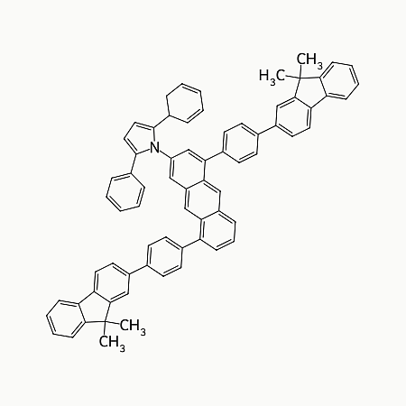 CC1(C)c2ccccc2-c2ccc(-c3ccc(-c4cccc5cc6c(-c7ccc(-c8ccc9c(c8)C(C)(C)c8ccccc8-9)cc7)cc(-n7c(-c8ccccc8)ccc7C7C=CC=CC7)cc6cc45)cc3)cc21